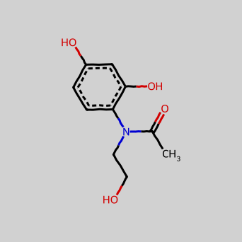 CC(=O)N(CCO)c1ccc(O)cc1O